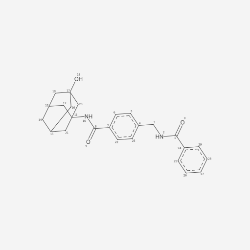 O=C(NCc1ccc(C(=O)NC23CC4CC(CC(O)(C4)C2)C3)cc1)c1ccccc1